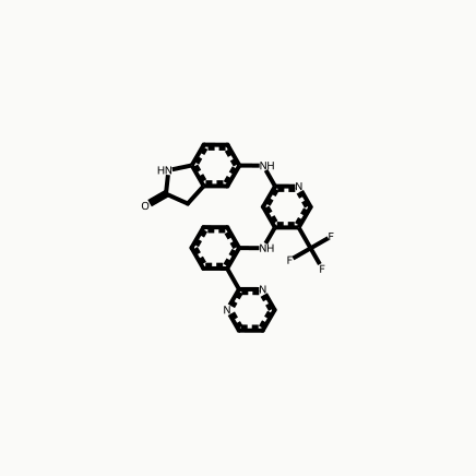 O=C1Cc2cc(Nc3cc(Nc4ccccc4-c4ncccn4)c(C(F)(F)F)cn3)ccc2N1